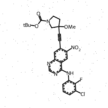 COC1(C#Cc2cc3ncnc(Nc4cccc(Cl)c4F)c3cc2[N+](=O)[O-])CCN(C(=O)OC(C)(C)C)C1